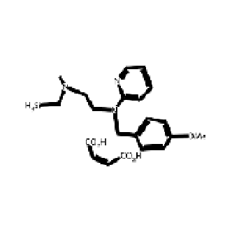 COc1ccc(CN(CCN(C)C[SiH3])c2ccccn2)cc1.O=C(O)/C=C\C(=O)O